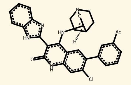 CC(=O)c1cccc(-c2cc3c(N[C@H]4CN5CCC4CC5)c(-c4nc5ccccc5[nH]4)c(=O)[nH]c3cc2Cl)c1